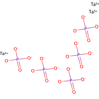 O=P([O-])([O-])[O-].O=P([O-])([O-])[O-].O=P([O-])([O-])[O-].O=P([O-])([O-])[O-].O=P([O-])([O-])[O-].[Ta+5].[Ta+5].[Ta+5]